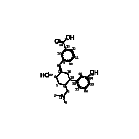 CN(C)CC1CCC(=Cc2cccc(C(=O)O)c2)CC1c1cccc(O)c1.Cl